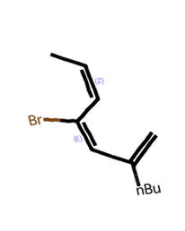 C=C(/C=C(Br)\C=C/C)CCCC